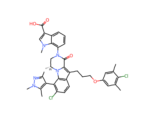 Cc1cc(OCCCc2c3n(c4c(-c5c(C)nn(C)c5C)c(Cl)ccc24)[C@H](C)CN(c2cccc4c(C(=O)O)cn(C)c24)C3=O)cc(C)c1Cl